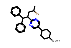 CCCCCC1CCC(c2cnc(C(CC(C)Br)C(c3ccccc3)c3ccccc3)nc2)CC1